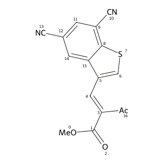 COC(=O)/C(=C/c1csc2c(C#N)cc(C#N)cc12)C(C)=O